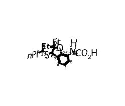 CCCC(CC)SC1c2cccc(NC(=O)O)c2OC1(CC)CC